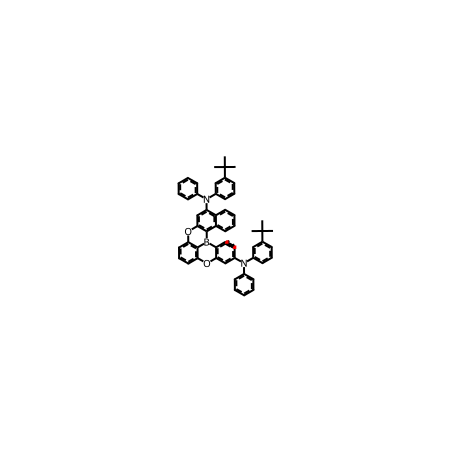 CC(C)(C)c1cccc(N(c2ccccc2)c2cc3c(c4ccccc24)B2c4c(cccc4Oc4cc(N(c5ccccc5)c5cccc(C(C)(C)C)c5)c5ccccc5c42)O3)c1